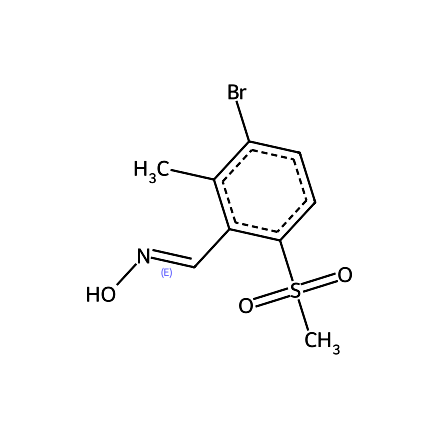 Cc1c(Br)ccc(S(C)(=O)=O)c1/C=N/O